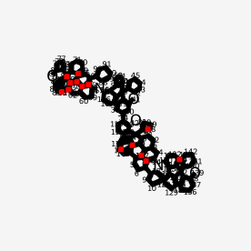 c1ccc(-c2ccc(-c3ccccc3N(c3ccc4c5c(ccc4c3)C3(c4ccccc4Oc4c(-c6ccc7c(c6)Oc6ccccc6C76c7ccccc7-c7c(N(c8ccc9ccc%10c(c9c8)-c8ccccc8C%108c9ccccc9Oc9ccccc98)c8ccccc8-c8ccc(-c9ccccc9)cc8)cccc76)cccc43)c3ccccc3-5)c3cccc4c3-c3ccccc3C43c4ccccc4Oc4ccccc43)cc2)cc1